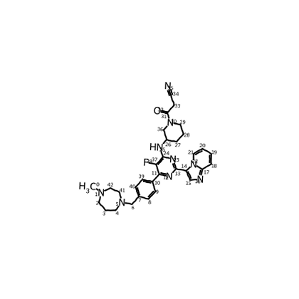 CN1CCCN(Cc2ccc(-c3nc(-c4cnc5ccccn45)nc(NC4CCCN(C(=O)CC#N)C4)c3F)cc2)CC1